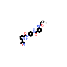 C=CC(=O)Nc1cccc(C(=O)Nc2ccc(NC(=O)c3cccc(-c4cnoc4)n3)cc2)c1